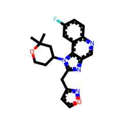 CC1(C)CC(n2c(Cc3ccon3)nc3cnc4ccc(F)cc4c32)CCO1